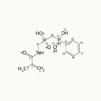 C=C(C)C(=O)NCP(=O)(O)C[PH](O)(O)c1ccccc1